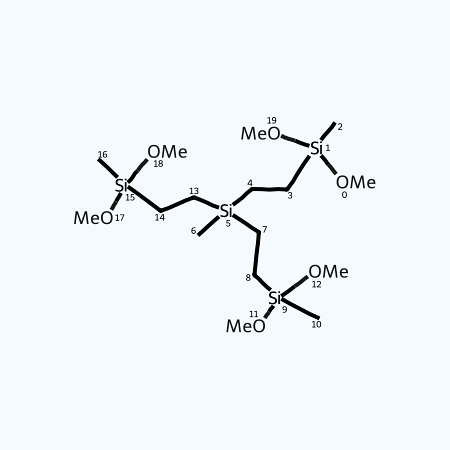 CO[Si](C)(CC[Si](C)(CC[Si](C)(OC)OC)CC[Si](C)(OC)OC)OC